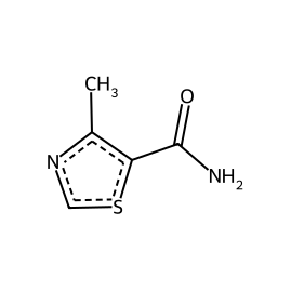 Cc1ncsc1C(N)=O